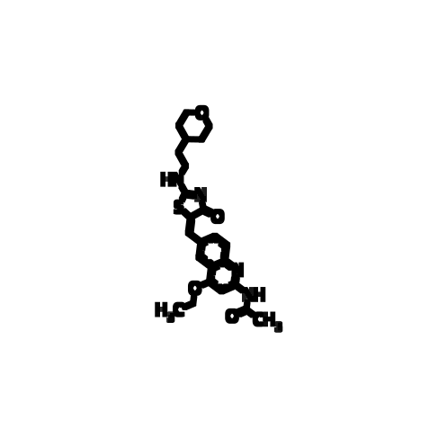 CCOc1cc(NC(C)=O)nc2ccc(C=C3SC(NCCC4CCOCC4)=NC3=O)cc12